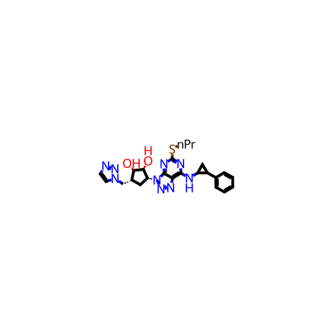 CCCSc1nc(NC2CC2c2ccccc2)c2nnn([C@@H]3C[C@H](Cn4ccnn4)[C@@H](O)[C@H]3O)c2n1